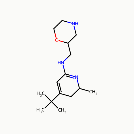 CC1CC(C(C)(C)C)=CC(NCC2CNCCO2)=N1